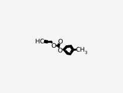 C#CCOC(=O)Oc1ccc(C)cc1